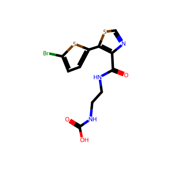 O=C(O)NCCNC(=O)c1ncsc1-c1ccc(Br)s1